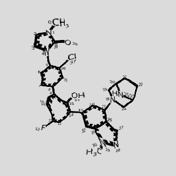 Cn1ccn(-c2ccc(-c3cc(F)cc(-c4cc(N5CC6CCC(C5)N6)c5cnn(C)c5c4)c3O)cc2Cl)c1=O